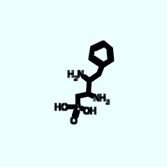 NC(Cc1ccccc1)C(N)CP(=O)(O)O